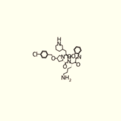 NCCCC[C@H](NC(=O)[C@@H]1C[C@@H](OCc2ccc(Cl)cc2)CN1C(=O)CC1CCCNC1)C(=O)c1nc2ccccc2o1